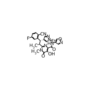 CCn1cc([C@@H](c2cc(F)ccc2C#N)[C@H](C)c2nc(C(=O)Nc3cnoc3)c(O)c(=O)n2C)cn1